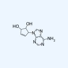 Nc1ncnc2c1ncn2C1C=CC(O)C1O